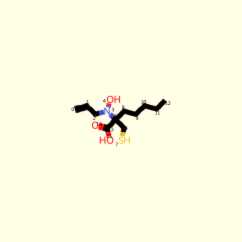 C=CCN(O)C(CS)(CCCCC)C(=O)O